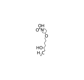 C=CC(O)CCCCO[C@@H]1CCN(C(=O)O)C1